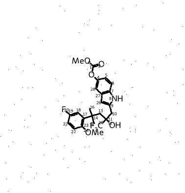 COC(=O)Oc1ccc2[nH]c(CC(O)(CC(C)(C)c3cc(F)ccc3OC)C(F)(F)F)cc2c1